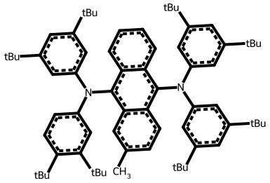 Cc1ccc2c(N(c3cc(C(C)(C)C)cc(C(C)(C)C)c3)c3cc(C(C)(C)C)cc(C(C)(C)C)c3)c3ccccc3c(N(c3cc(C(C)(C)C)cc(C(C)(C)C)c3)c3ccc(C(C)(C)C)c(C(C)(C)C)c3)c2c1